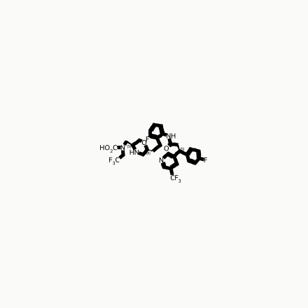 O=C(C[C@@H](c1ccc(F)cc1)c1cncc(C(F)(F)F)c1)Nc1cccc(F)c1CC[C@@H]1CN[C@@H](CN(CC(F)(F)F)C(=O)O)CO1